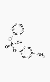 Nc1ccc(OP(=O)(O)Oc2ccccc2)cc1